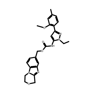 CCn1nc(-c2ccc(C)cc2OC)cc1NC(=O)OCc1ccc2c(c1)nc1n2CCOC1